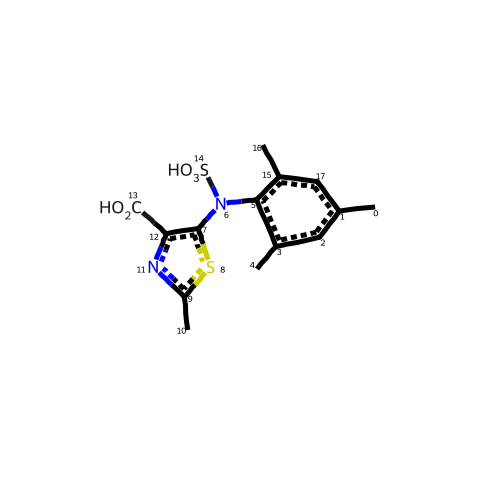 Cc1cc(C)c(N(c2sc(C)nc2C(=O)O)S(=O)(=O)O)c(C)c1